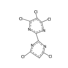 Clc1cc(Cl)nc(-c2nc(Cl)c(Cl)c(Cl)n2)n1